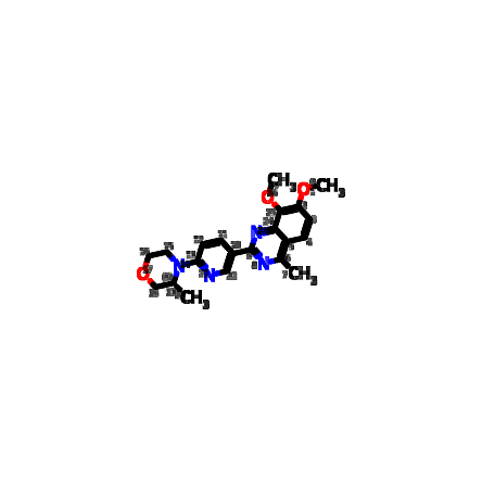 COc1ccc2c(C)nc(-c3ccc(N4CCOC[C@@H]4C)nc3)nc2c1OC